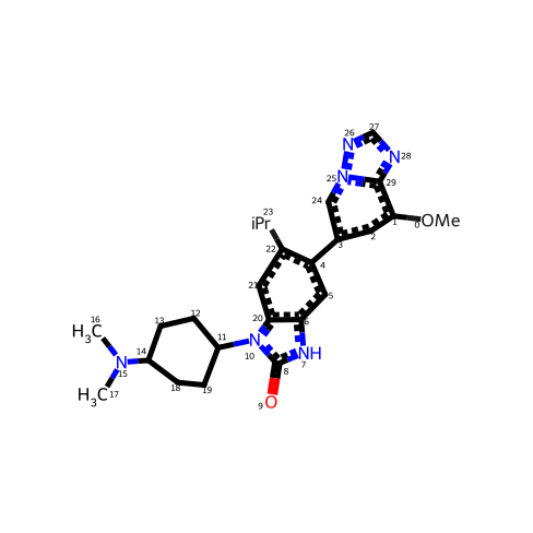 COc1cc(-c2cc3[nH]c(=O)n(C4CCC(N(C)C)CC4)c3cc2C(C)C)cn2ncnc12